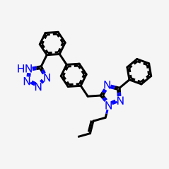 CC=CCn1nc(-c2ccccc2)nc1Cc1ccc(-c2ccccc2-c2nnn[nH]2)cc1